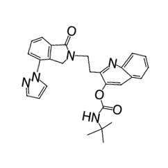 CC(C)(C)NC(=O)Oc1cc2ccccc2nc1CCN1Cc2c(cccc2-n2cccn2)C1=O